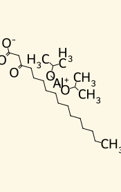 CC(C)[O][Al+][O]C(C)C.CCCCCCCCCCCCCC(=O)CC(=O)[O-]